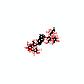 C=C1CC23CCC4C(C)(C(=O)OC5OC(CO)C(O)C(OC6OC(CO)C(O)C(O)C6O)C5OC(O)C(O)C(O)C(O)C(C)C)CCCC4(C)C2CCC1(CC1OC(CO)C(O)C(OC2OC(CO)C(O)C(O)C2O)C1OC1OC(CO)C(O)C(O)C1O)C3